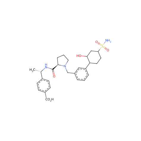 C[C@H](NC(=O)[C@H]1CCCN1Cc1cccc(C2CCC(S(N)(=O)=O)CC2O)c1)c1ccc(C(=O)O)cc1